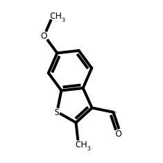 COc1ccc2c([C]=O)c(C)sc2c1